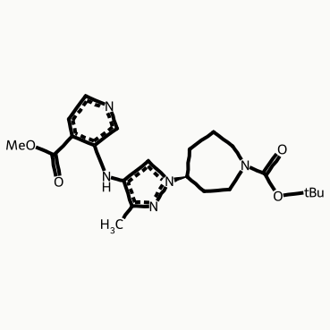 COC(=O)c1ccncc1Nc1cn([C@H]2CCCN(C(=O)OC(C)(C)C)CC2)nc1C